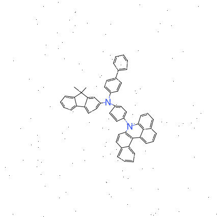 CC1(C)c2ccccc2-c2ccc(N(c3ccc(-c4ccccc4)cc3)c3ccc(N4c5ccc6ccccc6c5-c5cccc6cccc4c56)cc3)cc21